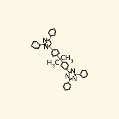 CC(C)(c1ccc(-c2cc(-c3ccccc3)nc(-c3ccccc3)n2)cc1)c1ccc(-c2nc(-c3ccccc3)nc(-c3ccccc3)n2)cc1